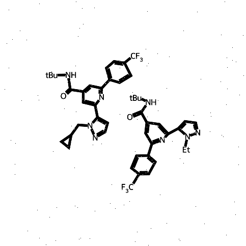 CC(C)(C)NC(=O)c1cc(-c2ccc(C(F)(F)F)cc2)nc(-c2ccnn2CC2CC2)c1.CCn1nccc1-c1cc(C(=O)NC(C)(C)C)cc(-c2ccc(C(F)(F)F)cc2)n1